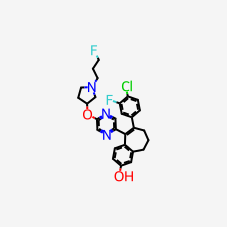 Oc1ccc2c(c1)CCCC(c1ccc(Cl)c(F)c1)=C2c1cnc(OC2CCN(CCCF)C2)cn1